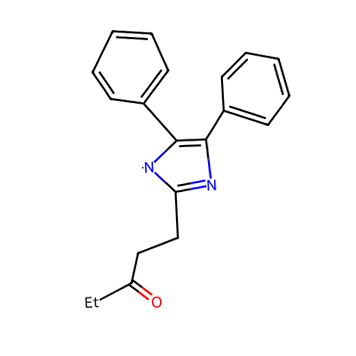 CCC(=O)CCC1=NC(c2ccccc2)=C(c2ccccc2)[N]1